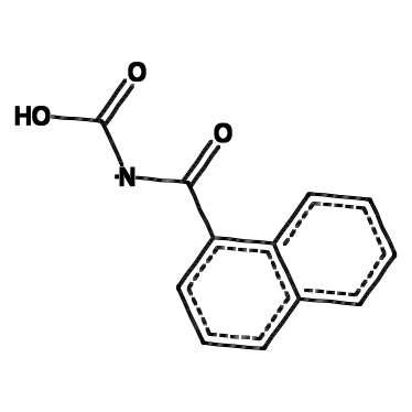 O=C(O)[N]C(=O)c1cccc2ccccc12